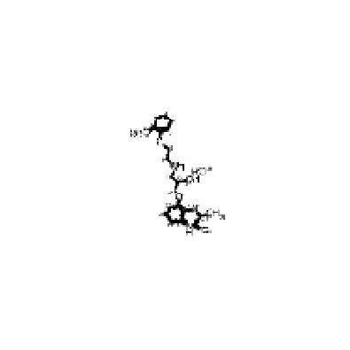 COc1ccccc1OCCNCC(O)COc1cccc2[nH]c(=O)c(C)nc12.Cl